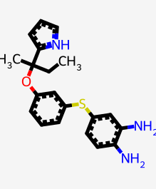 CCC(C)(Oc1cccc(Sc2ccc(N)c(N)c2)c1)c1ccc[nH]1